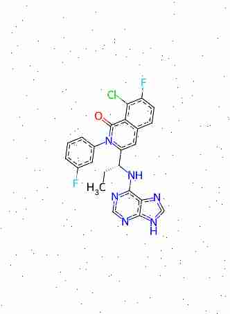 CC[C@@H](Nc1ncnc2[nH]cnc12)c1cc2ccc(F)c(Cl)c2c(=O)n1-c1cccc(F)c1